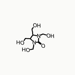 O=C1N(CO)C(CO)C(CO)N1CO